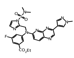 CCOC(=O)c1cc(F)cc(N(Cc2nccn2S(=O)(=O)N(C)C)c2ccc3ncc(-c4cnn(C)c4)nc3n2)c1